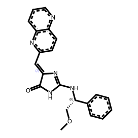 COC[C@H](NC1=N/C(=C\c2ccc3ncccc3n2)C(=O)N1)c1ccccc1